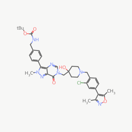 Cc1noc(C)c1-c1ccc(CN2CCC(O)(Cn3cnc4c(-c5ccc(CNC(=O)OC(C)(C)C)cc5)n(C)nc4c3=O)CC2)c(Cl)c1